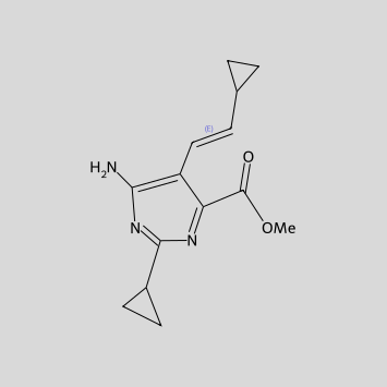 COC(=O)c1nc(C2CC2)nc(N)c1/C=C/C1CC1